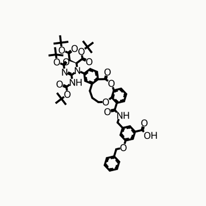 CC(C)(C)OC(=O)C[C@@H](C(=O)OC(C)(C)C)N(/C(=N\C(=O)OC(C)(C)C)NC(=O)OC(C)(C)C)c1ccc2c(c1)CCCOc1c(cccc1C(=O)NCc1cc(OCc3ccccc3)cc(C(=O)O)c1)OC2=O